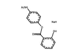 CC(=O)Nc1ccc(OC(=O)c2ccccc2O)cc1.[NaH]